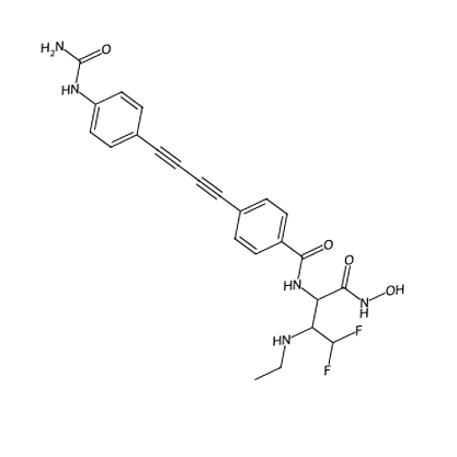 CCNC(C(F)F)C(NC(=O)c1ccc(C#CC#Cc2ccc(NC(N)=O)cc2)cc1)C(=O)NO